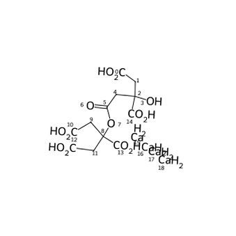 O=C(O)CC(O)(CC(=O)OC(CC(=O)O)(CC(=O)O)C(=O)O)C(=O)O.[CaH2].[CaH2].[CaH2].[CaH2]